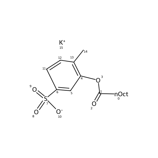 CCCCCCCCC(=O)Oc1cc(S(=O)(=O)[O-])ccc1C.[K+]